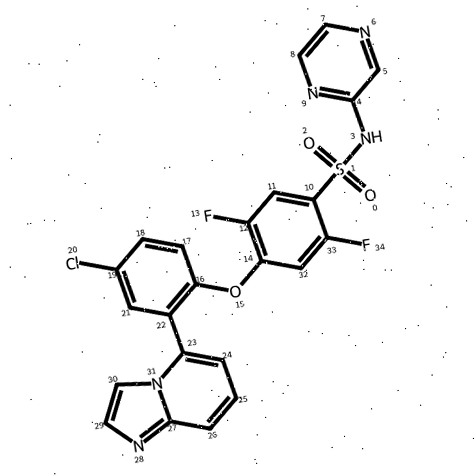 O=S(=O)(Nc1cnccn1)c1cc(F)c(Oc2ccc(Cl)cc2-c2cccc3nccn23)cc1F